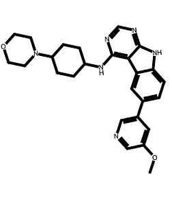 COc1cncc(-c2ccc3[nH]c4ncnc(NC5CCC(N6CCOCC6)CC5)c4c3c2)c1